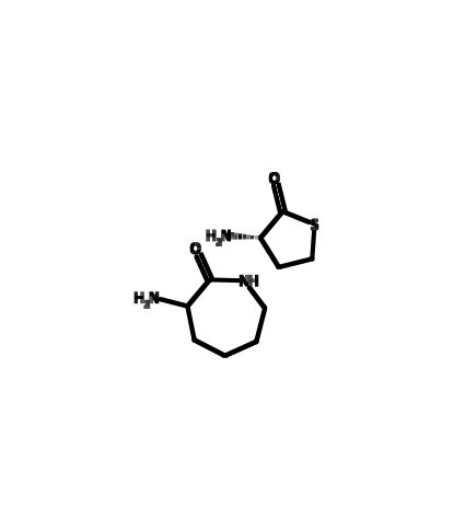 NC1CCCCNC1=O.N[C@H]1CCSC1=O